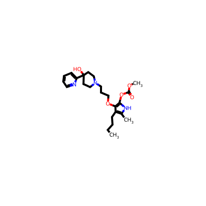 CCCCc1c(C)[nH]c(OC(=O)OC)c1OCCCN1CCC(O)(c2ccccn2)CC1